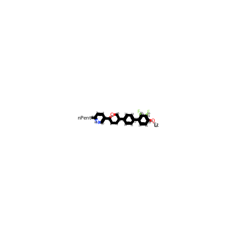 CCCCCc1ccc(C2CCC(c3ccc(-c4ccc(OCC)c(F)c4F)cc3)CO2)cn1